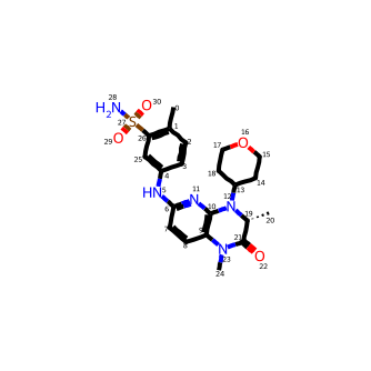 Cc1ccc(Nc2ccc3c(n2)N(C2CCOCC2)[C@H](C)C(=O)N3C)cc1S(N)(=O)=O